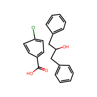 O=C(O)c1ccc(Cl)cc1.OC(Cc1ccccc1)Cc1ccccc1